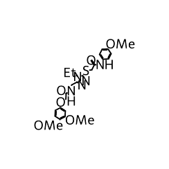 CCn1c(CNC(=O)COc2ccc(OC)c(OC)c2)nnc1SCC(=O)Nc1ccc(OC)cc1